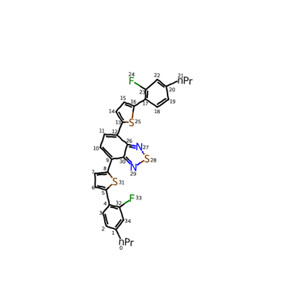 CCCc1ccc(-c2ccc(-c3ccc(-c4ccc(-c5ccc(CCC)cc5F)s4)c4nsnc34)s2)c(F)c1